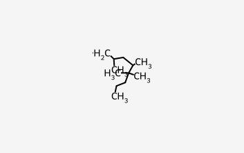 [CH2]C(C)CC(C)C(C)(C)CCC